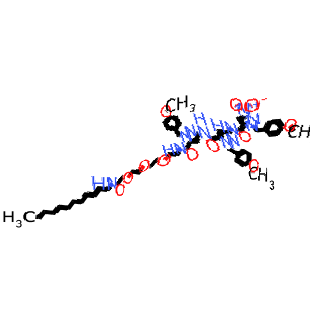 CCCCCCCCCCCCNC(=O)COCCOCCOCCNC(=O)c1cc(NC(=O)c2cc(NC(=O)c3cc([N+](=O)[O-])nn3Cc3ccc(OC)cc3)nn2Cc2ccc(OC)cc2)nn1Cc1ccc(OC)cc1